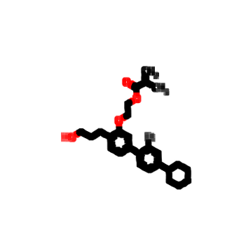 C=C(C)C(=O)OCCOc1cc(-c2ccc(C3CCCCC3)cc2CC)ccc1CCCO